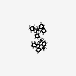 O=C(c1ccccc1)C(Oc1ccccc1)(Oc1ccccc1)c1ccccc1.O=C(c1ccccc1)C(c1ccccc1[N+](=O)[O-])c1ccccc1[N+](=O)[O-]